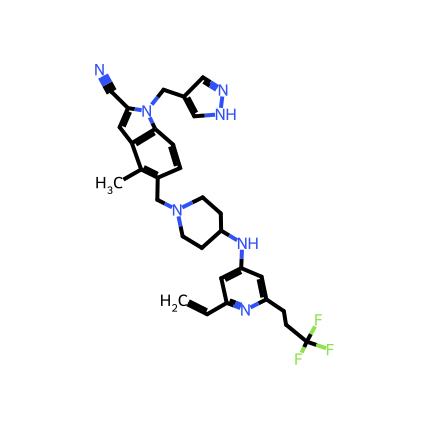 C=Cc1cc(NC2CCN(Cc3ccc4c(cc(C#N)n4Cc4cn[nH]c4)c3C)CC2)cc(CCC(F)(F)F)n1